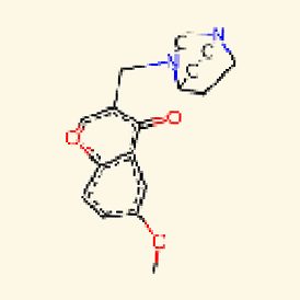 COc1ccc2occ(CN3CCN4CCC3CC4)c(=O)c2c1